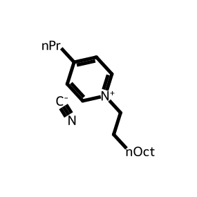 CCCCCCCCCC[n+]1ccc(CCC)cc1.[C-]#N